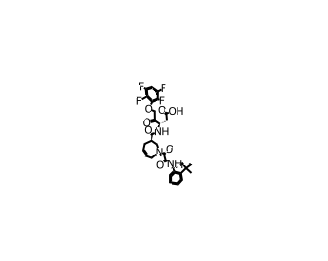 CC(C)(C)c1ccccc1NC(=O)C(=O)N1CC=CC[C@@H](C(=O)N[C@@H](CC(=O)O)C(=O)COc2c(F)c(F)cc(F)c2F)C1